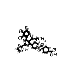 CCOC(=O)C1=C(C2CCN(S(=O)(=O)C3CCC(C(=O)O)CC3)CC2)NC(c2nccs2)=NC1c1ccc(F)c(F)c1Cl